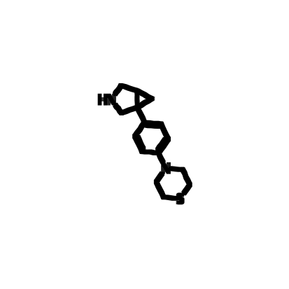 c1cc(C23CNCC2C3)ccc1N1CCSCC1